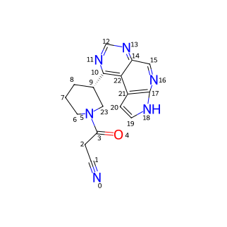 N#CCC(=O)N1CCC[C@H](c2ncnc3cnc4[nH]ccc4c23)C1